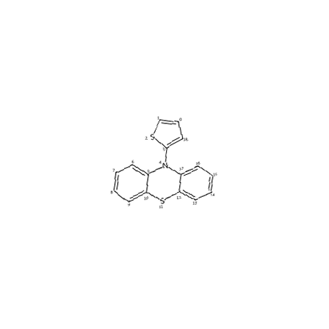 c1csc(N2c3ccccc3Sc3ccccc32)c1